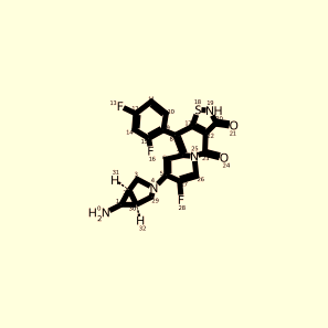 NC1[C@H]2CN(c3cc4c(-c5ccc(F)cc5F)c5s[nH]c(=O)c5c(=O)n4cc3F)C[C@@H]12